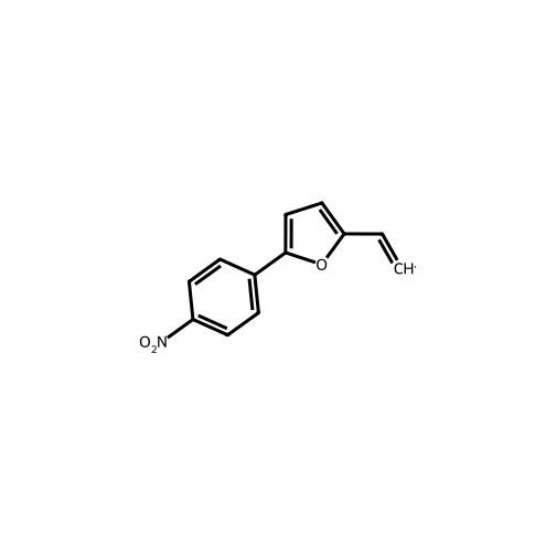 [CH]=Cc1ccc(-c2ccc([N+](=O)[O-])cc2)o1